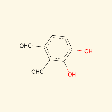 O=Cc1ccc(O)c(O)c1C=O